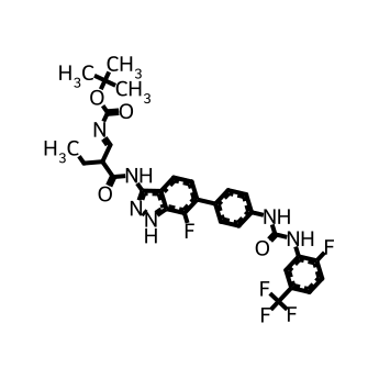 CCC(C=NC(=O)OC(C)(C)C)C(=O)Nc1n[nH]c2c(F)c(-c3ccc(NC(=O)Nc4cc(C(F)(F)F)ccc4F)cc3)ccc12